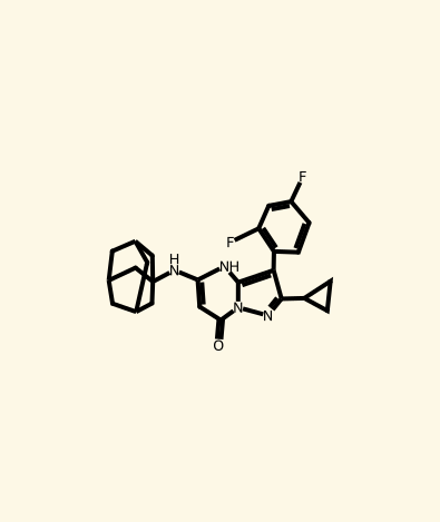 O=c1cc(NC23CC4CC(CC(C4)C2)C3)[nH]c2c(-c3ccc(F)cc3F)c(C3CC3)nn12